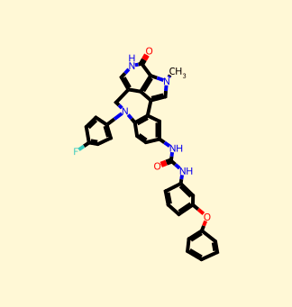 Cn1cc2c3c(c[nH]c(=O)c31)CN(c1ccc(F)cc1)c1ccc(NC(=O)Nc3cccc(Oc4ccccc4)c3)cc1-2